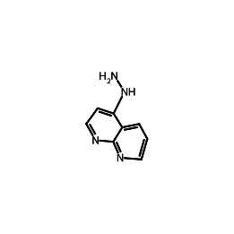 NNc1ccnc2ncccc12